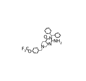 Nc1nc2c(c(=O)n1C(c1ccccc1)c1ccccc1)CCN(Cc1ccc(OC(F)(F)F)cc1)C2